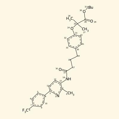 Cc1nc(-c2ccc(C(F)(F)F)cc2)ccc1NC(=O)CCCc1ccc(OC(C)(C)C(=O)OC(C)(C)C)cc1